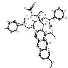 COc1ccc2cc3cc4c(c(OC)c3cc2c1)C[C@@](OB(O)c1ccccc1)([C@H](C)OC(C)=O)C[C@@H]4OB(O)c1ccccc1